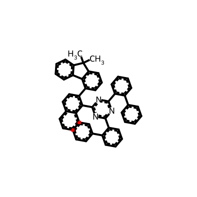 CC1(C)c2ccccc2-c2c(-c3ccc4ccccc4c3-c3nc(-c4ccccc4-c4ccccc4)nc(-c4ccccc4-c4ccccc4)n3)cccc21